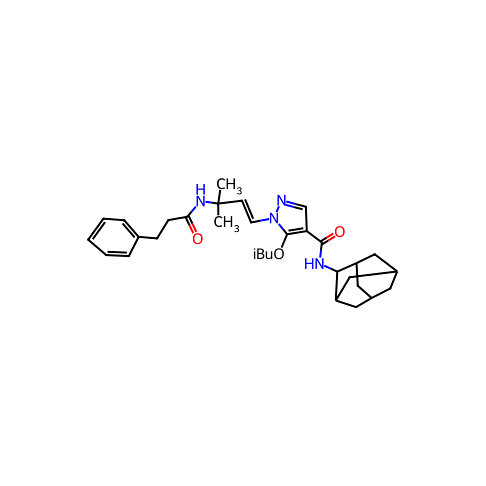 CC(C)COc1c(C(=O)NC2C3CC4CC(C3)CC2C4)cnn1/C=C/C(C)(C)NC(=O)CCc1ccccc1